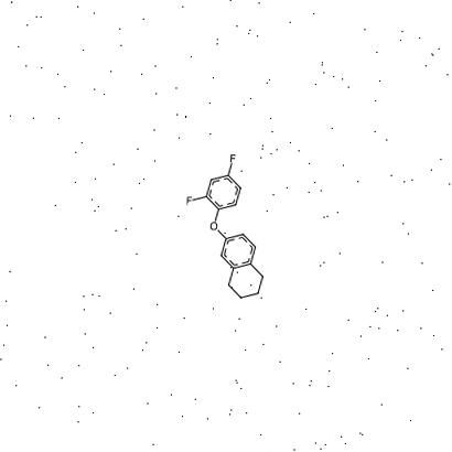 Fc1ccc(Oc2ccc3c(c2)CCCC3)c(F)c1